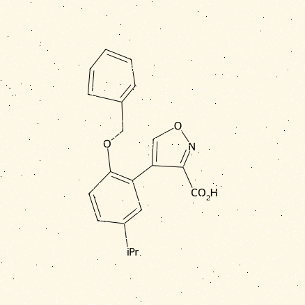 CC(C)c1ccc(OCc2ccccc2)c(-c2conc2C(=O)O)c1